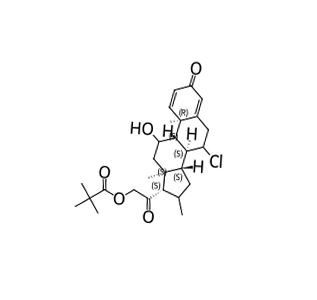 CC1C[C@H]2[C@@H]3C(Cl)CC4=CC(=O)C=C[C@]4(C)[C@H]3C(O)C[C@]2(C)[C@H]1C(=O)COC(=O)C(C)(C)C